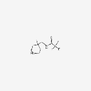 CC1(CNC(=O)C(F)(F)F)CCNCC1